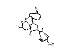 COc1ccc(N2CN(c3ccc(F)cc3C(C)C)c3cnc(Cl)cc3C2=O)c(C)n1